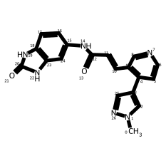 Cn1cc(-c2ccncc2/C=C/C(=O)Nc2ccc3[nH]c(=O)[nH]c3c2)cn1